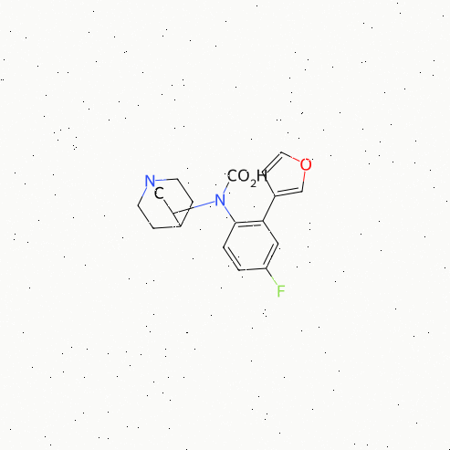 O=C(O)N(c1ccc(F)cc1-c1ccoc1)C1CN2CCC1CC2